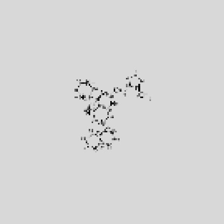 CN1CCC[C@H]1COc1nc2c(c(C3(C#N)CNCCN3)n1)CCN(c1cccc3ccccc13)C2